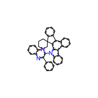 c1ccc(-c2nc3ccccc3nc2-n2c3ccccc3c3c4ccccc4c4c(c32)C2(CCCCC2)c2ccccc2-4)cc1